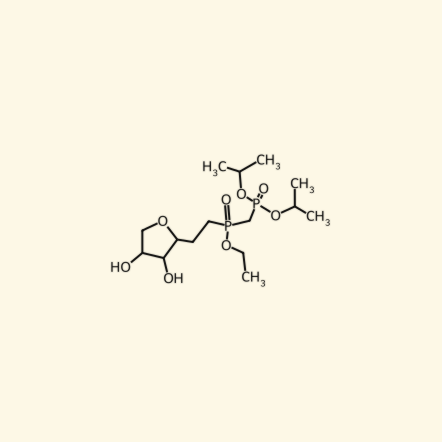 CCOP(=O)(CCC1OCC(O)C1O)CP(=O)(OC(C)C)OC(C)C